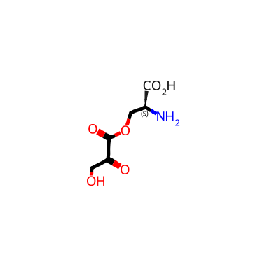 N[C@@H](COC(=O)C(=O)CO)C(=O)O